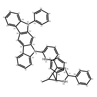 CC1C2C(C3C=CC=C(n4c5ccccc5c5cc6c7ccccc7n(-c7ccccc7)c6cc54)N3)=NC(c3ccccc3)NC12c1ccccc1